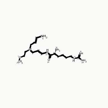 COCCN(CCCN)CCCNC(=O)[C@H](N)CCCCNC(=N)N